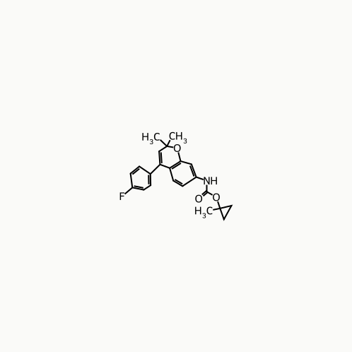 CC1(C)C=C(c2ccc(F)cc2)c2ccc(NC(=O)OC3(C)CC3)cc2O1